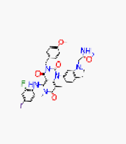 COc1ccc(Cn2c(=O)c3c(Nc4ccc(I)cc4F)n(C)c(=O)c(C)c3n(-c3ccc4c(c3)N(CC(N)=O)CC4)c2=O)cc1